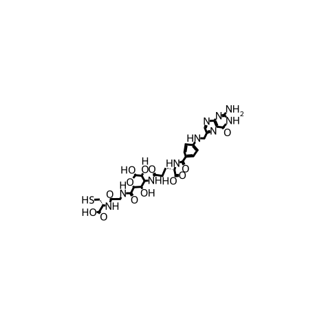 Nc1nc2ncc(CNc3ccc(C(=O)N[C@@H](CCC(=O)NC4C(O)C(O)OC(C(=O)NCC(=O)N[C@@H](CS)C(=O)O)C4O)C(=O)O)cc3)nc2c(=O)[nH]1